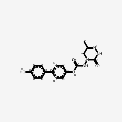 CC1=NNC(=O)N(NC(=O)Oc2cnc(-c3ccc(O)cc3)nc2)C1